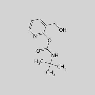 CC(C)(C)NC(=O)Oc1ncccc1CO